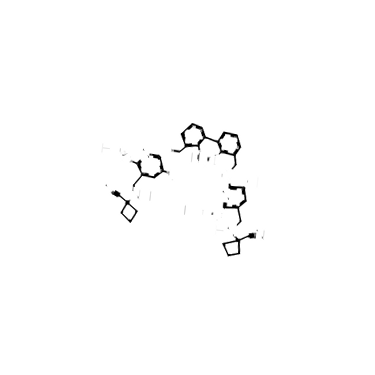 COc1nc(OCc2cccc(-c3cccc(COc4nc(OC)c(CNC5(C#N)CCC5)cc4Cl)c3C)c2C)c(Cl)cc1CNC1(C#N)CCC1